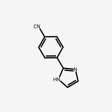 [C-]#[N+]c1ccc(-c2ncc[nH]2)cc1